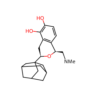 CNC[C@H]1O[C@@H](C23CC4CC(CC(C4)C2)C3)Cc2c1ccc(O)c2O